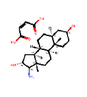 C[C@]12CC[C@H](O)C[C@@H]1CC[C@@H]1[C@@H]2CC[C@]2(C)[C@@H](N)[C@H](O)C[C@@H]12.O=C(O)/C=C\C(=O)O